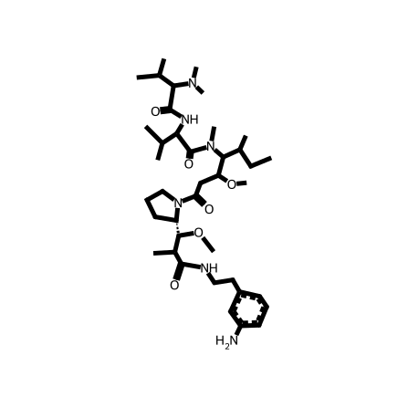 CCC(C)C(C(CC(=O)N1CCC[C@H]1C(OC)C(C)C(=O)NCCc1cccc(N)c1)OC)N(C)C(=O)C(NC(=O)C(C(C)C)N(C)C)C(C)C